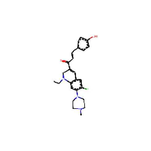 CCN1CC(C(=O)C=Cc2ccc(O)cc2)=Cc2cc(F)c(N3CCN(C)CC3)cc21